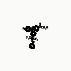 O=C(O)NC1CCC(c2ccc(C(OCc3ccccc3)(C(F)(F)F)C(F)(F)F)cc2)(S(=O)(=O)c2ccc(F)cc2)CC1